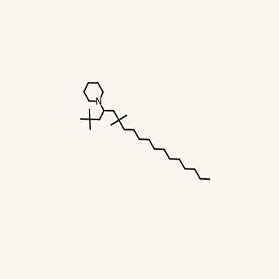 CCCCCCCCCCCCC(C)(C)CC(CC(C)(C)C)N1CCCCC1